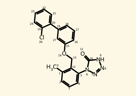 Cc1cccc(-n2nn[nH]c2=O)c1COc1cccc(-c2ccccc2Cl)c1